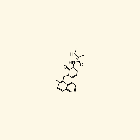 CN[C@@H](C)C(=O)NC1CC=CC(Cc2c(C)ccc3ccccc23)C1=O